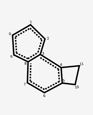 c1ccc2c3c(ccc2c1)CC3